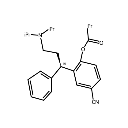 CC(C)C(=O)Oc1ccc(C#N)cc1[C@H](CCN(C(C)C)C(C)C)c1ccccc1